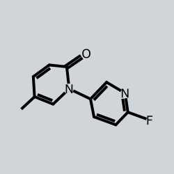 Cc1ccc(=O)n(-c2ccc(F)nc2)c1